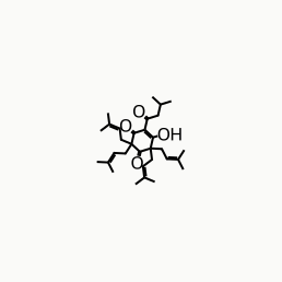 CC(C)=CCC1(CC=C(C)C)C(=O)C(C(=O)CC(C)C)=C(O)C(CC=C(C)C)(CC=C(C)C)C1=O